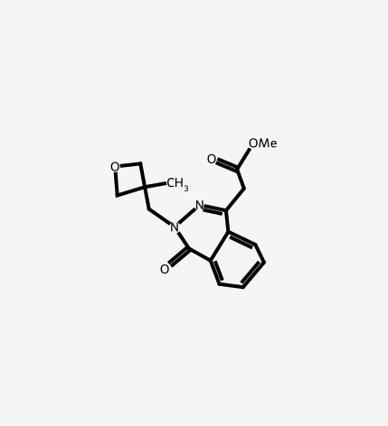 COC(=O)Cc1nn(CC2(C)COC2)c(=O)c2ccccc12